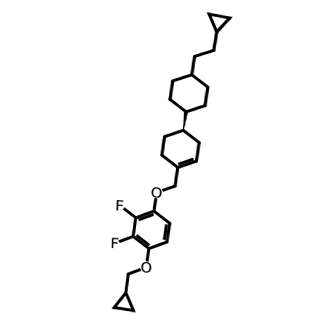 Fc1c(OCC2=CC[C@H](C3CCC(CCC4CC4)CC3)CC2)ccc(OCC2CC2)c1F